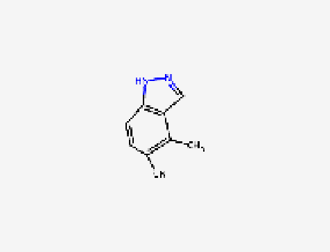 Cc1c(C#N)ccc2[nH]ncc12